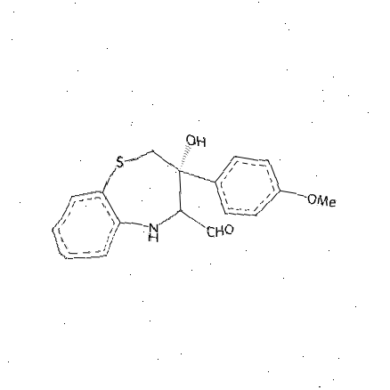 COc1ccc([C@]2(O)CSc3ccccc3NC2C=O)cc1